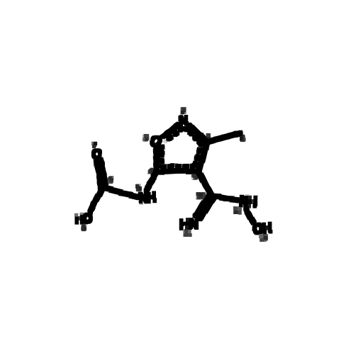 Cc1noc(NC(=O)O)c1C(=N)NO